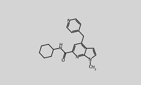 Cn1ccc2c(Cc3ccncc3)cc(C(=O)NC3CCCCC3)nc21